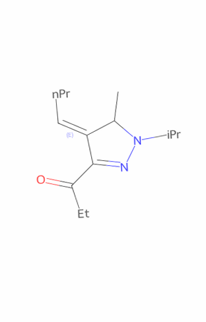 CCC/C=C1/C(C(=O)CC)=NN(C(C)C)C1C